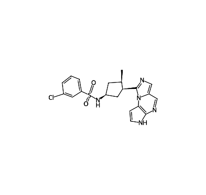 C[C@@H]1C[C@H](NS(=O)(=O)c2cccc(Cl)c2)C[C@@H]1c1ncc2cnc3[nH]ccc3n12